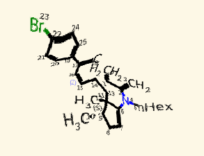 C=CC(=C)N(CCCCCC)C1=CC[C@H](C)C1(C)CC/C=C\C(=C)c1ccc(Br)cc1